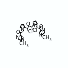 Cc1cnc(C(=O)Cn2cccc2C(CCl)C(=O)C(CCl)c2cccn2CC(=O)c2cnc(C)cn2)cn1